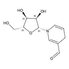 O=CC1=CN([C@@H]2O[C@H](CO)[C@@H](O)[C@H]2O)C=CC1